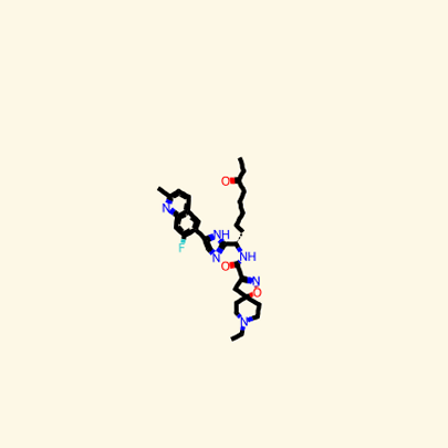 CCC(=O)CCCCC[C@H](NC(=O)C1=NOC2(CCN(CC)CC2)C1)c1ncc(-c2cc3ccc(C)nc3cc2F)[nH]1